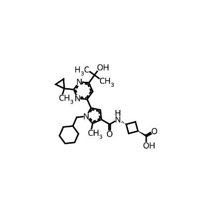 Cc1c(C(=O)N[C@H]2C[C@H](C(=O)O)C2)cc(-c2cc(C(C)(C)O)nc(C3(C)CC3)n2)n1CC1CCCCC1